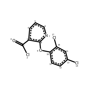 O=C(Cl)c1cccnc1Oc1ccc(Cl)cc1Cl